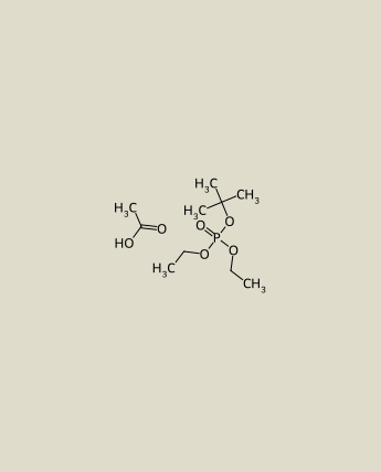 CC(=O)O.CCOP(=O)(OCC)OC(C)(C)C